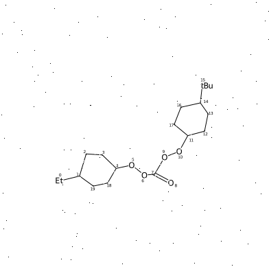 CCC1CCC(OOC(=O)OOC2CCC(C(C)(C)C)CC2)CC1